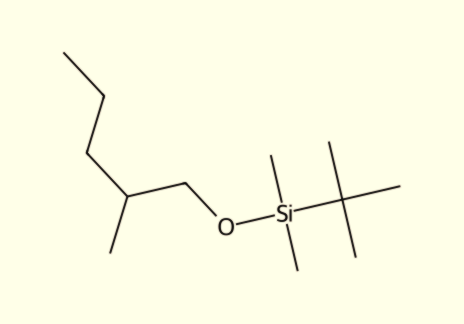 CCCC(C)CO[Si](C)(C)C(C)(C)C